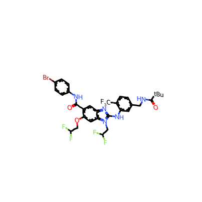 CC(C)(C)C(=O)NCc1ccc(C(F)(F)F)c(Nc2nc3cc(C(=O)Nc4ccc(Br)cc4)c(OCC(F)F)cc3n2CC(F)F)c1